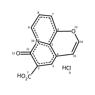 Cl.O=C(O)c1cc2c3c(cccn3c1=O)OC=C2